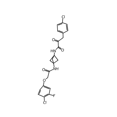 O=C(COc1ccc(Cl)c(F)c1)NC12CC(NC(=O)C(=O)Cc3ccc(Cl)cc3)(C1)C2